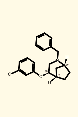 Clc1cccc(O[C@H]2CN(Cc3ccccc3)[C@@H]3CC[C@H]2C3)c1